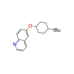 CC(C)(C)C1CCC(Oc2ccc3ncccc3c2)CC1